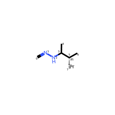 C=NNC(C)[C@H](C)C(C)C